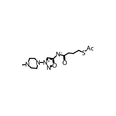 CC(=O)SCCCC(=O)[N-]c1c[n+](N2CCN(C)CC2)no1